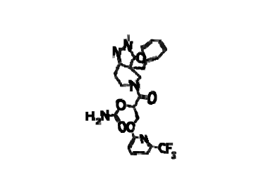 CN1N=C2CCN(C(=O)[C@@H](COc3cccc(C(F)(F)F)n3)OC(N)=O)C[C@@]2(Cc2ccccc2)C1=O